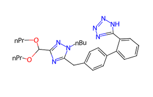 CCCCn1nc(C(OCCC)OCCC)nc1Cc1ccc(-c2ccccc2-c2nnn[nH]2)cc1